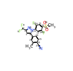 Cc1cc(-c2cc(C(F)F)nn2-c2cc(F)c(S(C)(=O)=O)cc2F)ccc1C#N